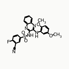 COc1ccc(OC)c(Nc2nc3ccccc3nc2NS(=O)(=O)c2ccc(F)c(C#N)c2)c1